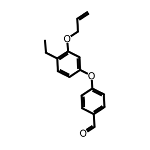 C=CCOc1cc(Oc2ccc(C=O)cc2)ccc1CC